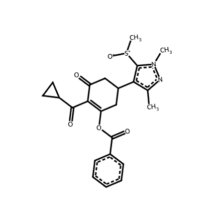 Cc1nn(C)c([S+](C)[O-])c1C1CC(=O)C(C(=O)C2CC2)=C(OC(=O)c2ccccc2)C1